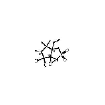 CC[C@@]12CS(=O)(=O)N3O[C@]31C(Cl)(Cl)[C@@H](C)C2(C)C